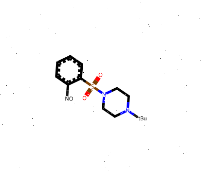 CC(C)(C)N1CCN(S(=O)(=O)c2ccccc2N=O)CC1